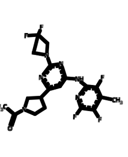 CC(=O)N1CCC(c2cc(Nc3nc(F)c(F)c(C)c3F)nc(N3CC(F)(F)C3)n2)C1